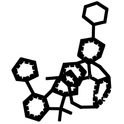 Cc1cc2ccc1CCc1ccc(c(N(c3ccc(C4CCCCC4)cc3)c3ccc4c(c3)C(C)(C)c3cccc(-c5ccccc5)c3-4)c1)CC2